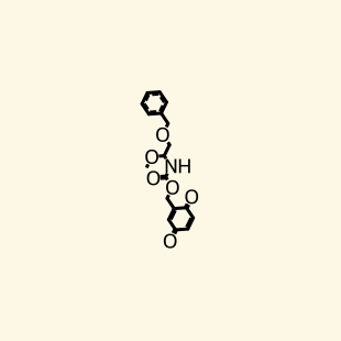 COC(COCc1ccccc1)NC(=O)OCC1=CC(=O)C=CC1=O